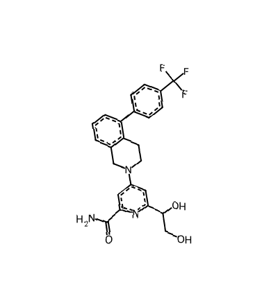 NC(=O)c1cc(N2CCc3c(cccc3-c3ccc(C(F)(F)F)cc3)C2)cc(C(O)CO)n1